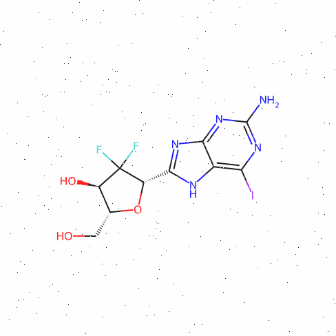 Nc1nc(I)c2[nH]c([C@@H]3O[C@H](CO)[C@@H](O)C3(F)F)nc2n1